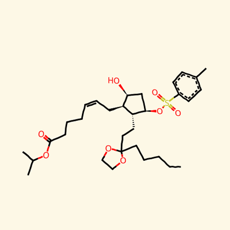 CCCCCC1(CC[C@@H]2[C@@H](C/C=C\CCCC(=O)OC(C)C)[C@@H](O)C[C@H]2OS(=O)(=O)c2ccc(C)cc2)OCCO1